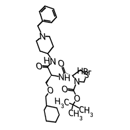 Br.CC(C)(C)OC(=O)N1CSC[C@H]1C(=O)N[C@@H](COCC1CCCCC1)C(=O)NC1CCN(Cc2ccccc2)CC1